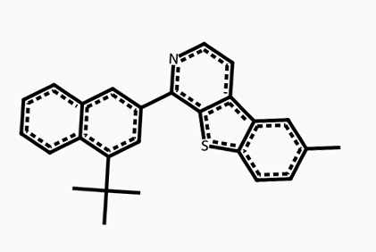 Cc1ccc2sc3c(-c4cc(C(C)(C)C)c5ccccc5c4)nccc3c2c1